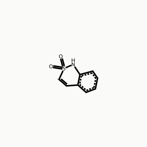 O=S1(=O)[C]=Cc2ccccc2N1